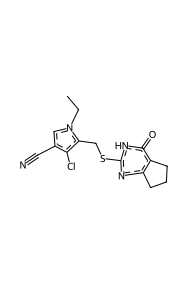 CCn1cc(C#N)c(Cl)c1CSc1nc2c(c(=O)[nH]1)CCC2